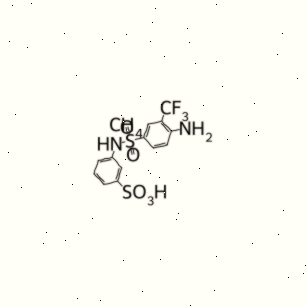 C.Nc1ccc(S(=O)(=O)Nc2cccc(S(=O)(=O)O)c2)cc1C(F)(F)F